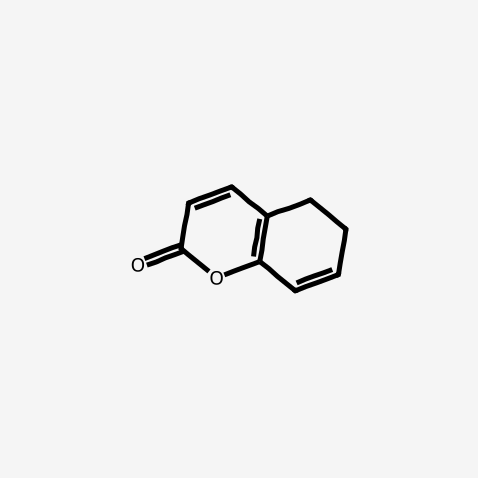 O=c1ccc2c(o1)C=CCC2